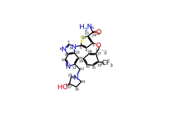 C[C@@H](Oc1cc(-n2cnc3cnc(CN4CCC(O)C4)cc32)sc1C(N)=O)c1ccccc1C(F)(F)F